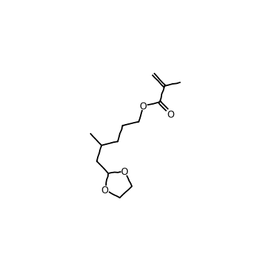 C=C(C)C(=O)OCCCC(C)CC1OCCO1